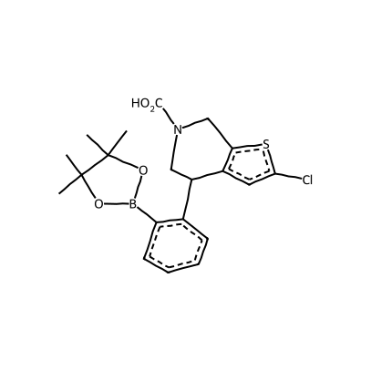 CC1(C)OB(c2ccccc2C2CN(C(=O)O)Cc3sc(Cl)cc32)OC1(C)C